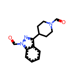 O=CN1CCC(c2nn(C=O)c3ccccc23)CC1